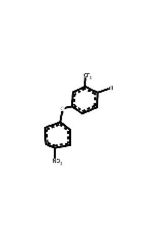 O=[N+]([O-])c1ccc(Oc2ccc(Cl)c(C(F)(F)F)c2)cc1